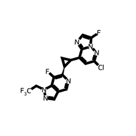 Fc1c([C@H]2CC2c2cc(Cl)nn3c(F)cnc23)ncc2cnn(CC(F)(F)F)c12